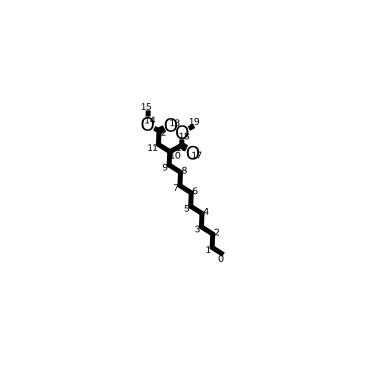 CCCCCCCCCCC(CC(=O)OC)C(=O)OC